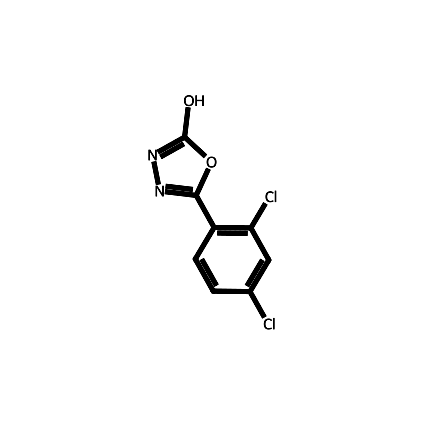 Oc1nnc(-c2ccc(Cl)cc2Cl)o1